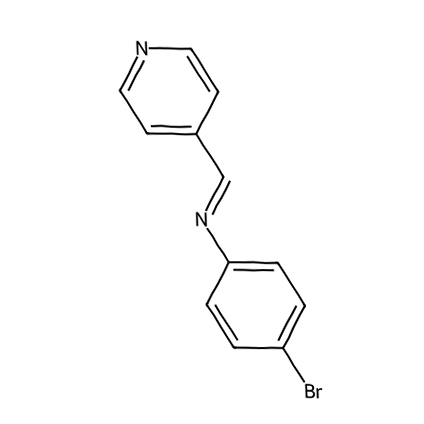 Brc1ccc(N=Cc2ccncc2)cc1